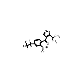 CC(C)c1oncc1C(=O)c1ccc(C(F)(F)C(F)(F)F)cc1[N+](=O)[O-]